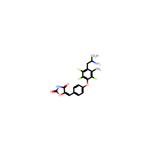 Cc1c(F)c(Oc2ccc(C=C3OC(=O)NC3=O)cc2)c(F)c(F)c1CC(N)C(=O)O